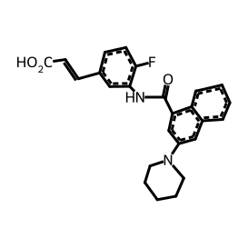 O=C(O)C=Cc1ccc(F)c(NC(=O)c2cc(N3CCCCC3)cc3ccccc23)c1